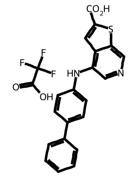 O=C(O)C(F)(F)F.O=C(O)c1cc2c(Nc3ccc(-c4ccccc4)cc3)cncc2s1